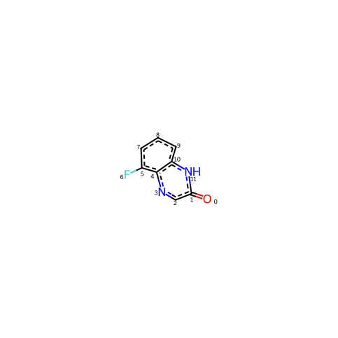 O=c1cnc2c(F)cccc2[nH]1